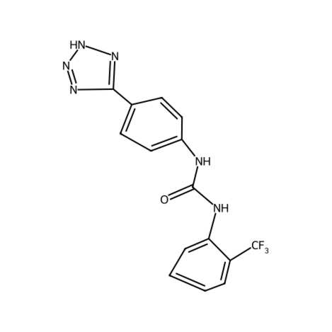 O=C(Nc1ccc(-c2nn[nH]n2)cc1)Nc1ccccc1C(F)(F)F